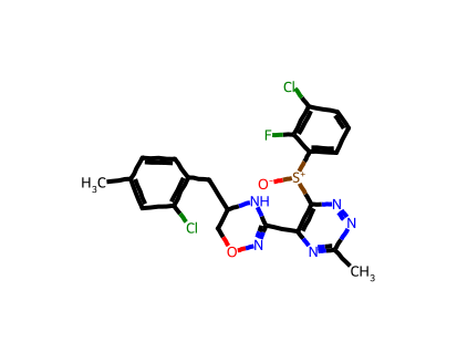 Cc1ccc(CC2CON=C(c3nc(C)nnc3[S+]([O-])c3cccc(Cl)c3F)N2)c(Cl)c1